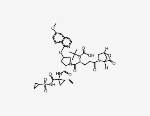 C=C[C@@H]1C[C@]1(NC(=O)[C@@H]1CC(Oc2nccc3cc(OC)ccc23)CN1C(=O)[C@H](CCC(=O)N1C[C@H]2C[C@@H]1C(=O)O2)N(C(=O)O)C(C)(C)C)C(=O)NS(=O)(=O)C1CC1